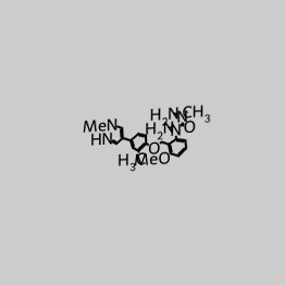 CN/C=C(\C=N)c1ccc(OCc2c(OC)cccc2N(N)C(=O)N(C)N)c(C)c1